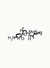 C/N=C\C=C(/NC)C(C)NC[C@@H]1CC(F)(F)[C@H](n2ccc(N)nc2=O)O1